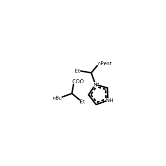 CCCCC(CC)C(=O)[O-].CCCCCC(CC)[n+]1cc[nH]c1